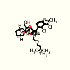 Cn1nc2ccc(-c3nn(COCC[Si](C)(C)C)c4nc(N5[C@@H]6CC[C@H]5CN(C(=O)OC(C)(C)C)C6)c(CO)nc34)c(Cl)c2c1Cl